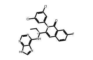 CC[C@H](Nc1ncnc2[nH]cnc12)c1cc2ccc(F)cc2c(=O)n1-c1cc(Cl)cc(Cl)c1